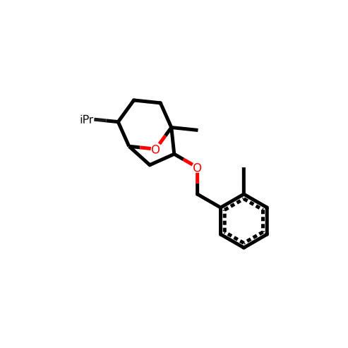 Cc1ccccc1COC1CC2OC1(C)CCC2C(C)C